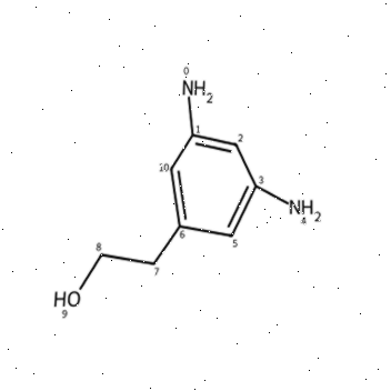 Nc1cc(N)cc(CCO)c1